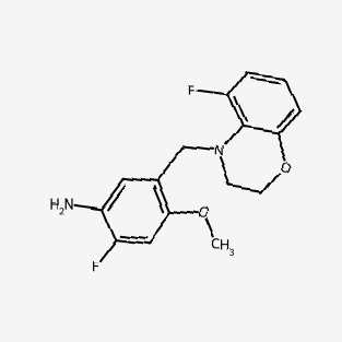 COc1cc(F)c(N)cc1CN1CCOc2cccc(F)c21